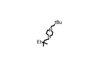 CCC(C)(C)CCN1CCN(CCC(C)(C)C)CC1